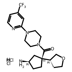 Cl.Cl.N[C@@H]1CC[C@@](C(=O)N2CCN(c3cc(C(F)(F)F)ccn3)CC2)([C@H]2CCOC2)C1